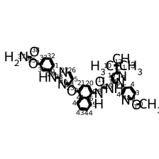 COc1ccc(-n2nc(C(C)(C)C)cc2NC(=O)Nc2ccc(Oc3ccnc(Nc4cccc(OC(N)=O)c4)n3)c3ccccc23)cn1